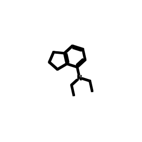 CCN(CC)c1cccc2c1CCC2